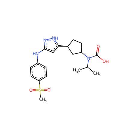 CC(C)N(C(=O)O)C1CC[C@H](c2cc(Nc3ccc(S(C)(=O)=O)cc3)n[nH]2)C1